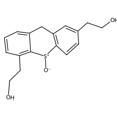 [O-][S+]1c2ccc(CCO)cc2Cc2cccc(CCO)c21